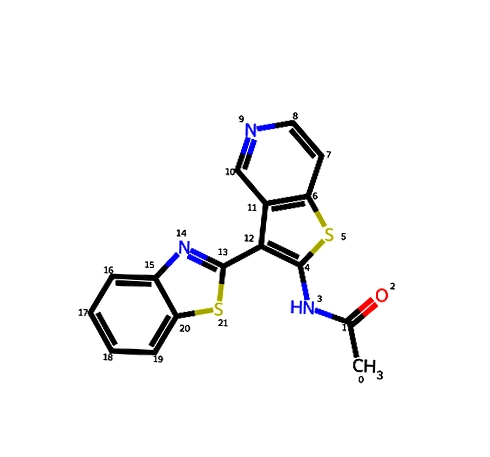 CC(=O)Nc1sc2ccncc2c1-c1nc2ccccc2s1